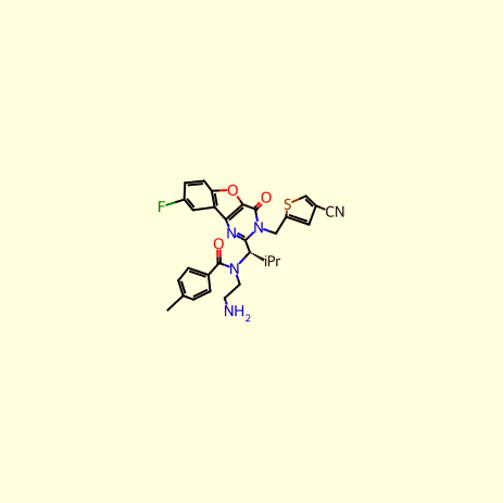 Cc1ccc(C(=O)N(CCN)[C@@H](c2nc3c(oc4ccc(F)cc43)c(=O)n2Cc2cc(C#N)cs2)C(C)C)cc1